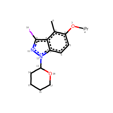 Cc1c(OC(C)C)ccc2c1c(I)nn2C1CCCCO1